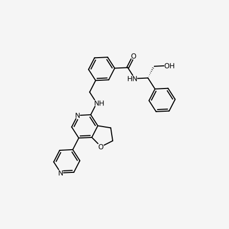 O=C(N[C@H](CO)c1ccccc1)c1cccc(CNc2ncc(-c3ccncc3)c3c2CCO3)c1